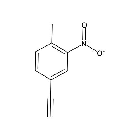 [C]#Cc1ccc(C)c([N+](=O)[O-])c1